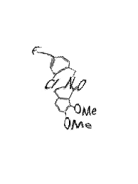 COc1ccc2c(c1OC)C(=O)N(Cc1ccc(F)cc1Cl)C2